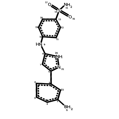 Bc1cccc(-c2cc(Nc3ccc(S(N)(=O)=O)cc3)[nH]n2)c1